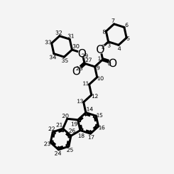 O=C(OC1CCCCC1)C(CCCCc1cccc2c1Cc1ccccc1-2)C(=O)OC1CCCCC1